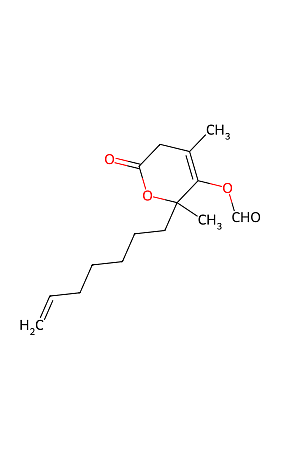 C=CCCCCCC1(C)OC(=O)CC(C)=C1OC=O